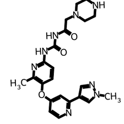 Cc1nc(NC(=O)NC(=O)CN2CCNCC2)ccc1Oc1ccnc(-c2cnn(C)c2)c1